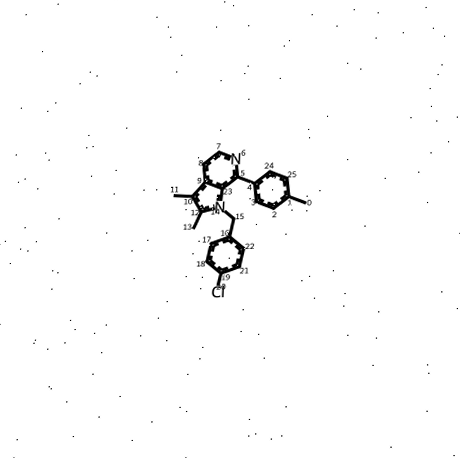 Cc1ccc(-c2nccc3c(C)c(C)n(Cc4ccc(Cl)cc4)c23)cc1